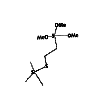 CO[Si](CCS[Si](C)(C)C)(OC)OC